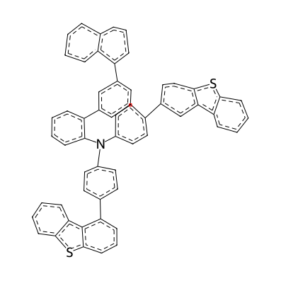 c1cc(-c2ccccc2N(c2ccc(-c3ccc4sc5ccccc5c4c3)cc2)c2ccc(-c3cccc4sc5ccccc5c34)cc2)cc(-c2cccc3ccccc23)c1